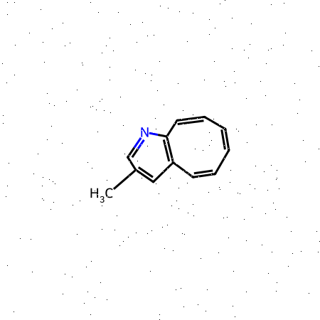 Cc1cnc2c(c1)\C=C/C=C\C=C/2